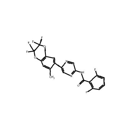 Cc1cc2c(cc1-c1cnc(NC(=O)c3c(F)cccc3F)cn1)OC(F)(F)C(F)(F)O2